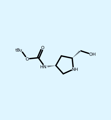 CC(C)(C)OC(=O)N[C@H]1CN[C@@H](CO)C1